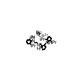 CC(C)c1cccc(C(C)C)c1NCCNCc1ncccc1CNc1c(C(C)C)cccc1C(C)C.[Br-].[Br-].[Co+2]